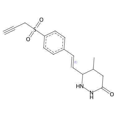 C#CCS(=O)(=O)c1ccc(/C=C/C2NNC(=O)CC2C)cc1